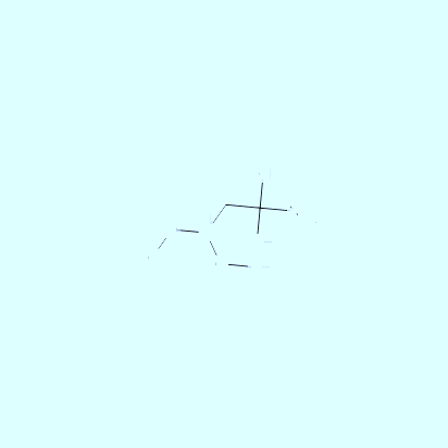 CO[SiH](CC(C)(C)N)OC